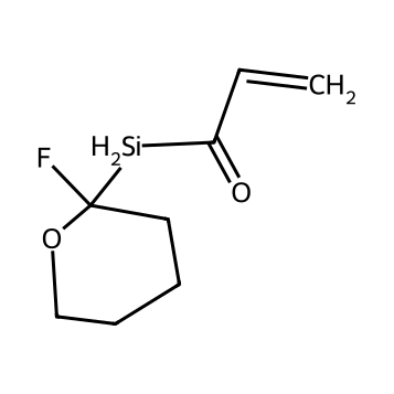 C=CC(=O)[SiH2]C1(F)CCCCO1